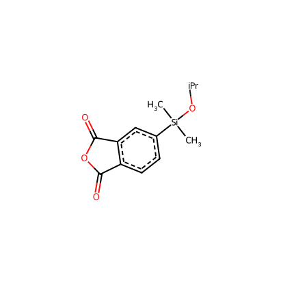 CC(C)O[Si](C)(C)c1ccc2c(c1)C(=O)OC2=O